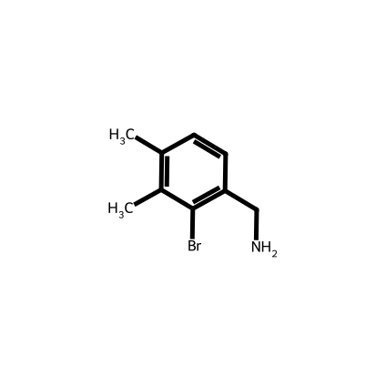 Cc1ccc(CN)c(Br)c1C